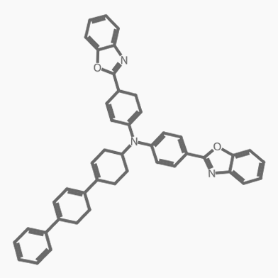 C1=CC(c2nc3ccccc3o2)CC=C1N(c1ccc(-c2nc3ccccc3o2)cc1)C1CC=C(C2=CC=C(c3ccccc3)CC2)CC1